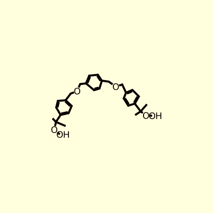 CC(C)(OO)c1ccc(COCc2ccc(COCc3ccc(C(C)(C)OO)cc3)cc2)cc1